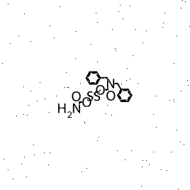 NC(=O)OSSOC(=O)N(Cc1ccccc1)Cc1ccccc1